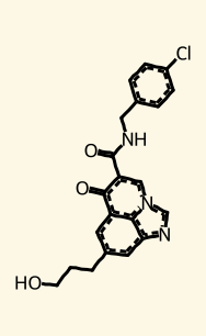 O=C(NCc1ccc(Cl)cc1)c1cn2cnc3cc(CCCO)cc(c1=O)c32